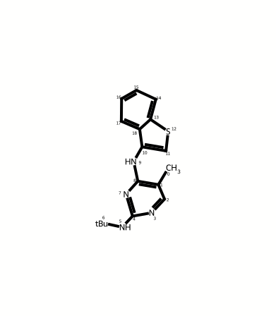 Cc1cnc(NC(C)(C)C)nc1Nc1csc2ccccc12